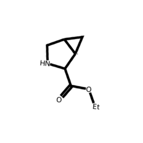 CCOC(=O)C1NCC2C[C]21